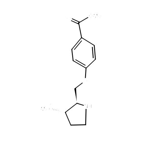 COC(=O)c1ccc(OC[C@H]2NCC[C@@H]2OC)cc1